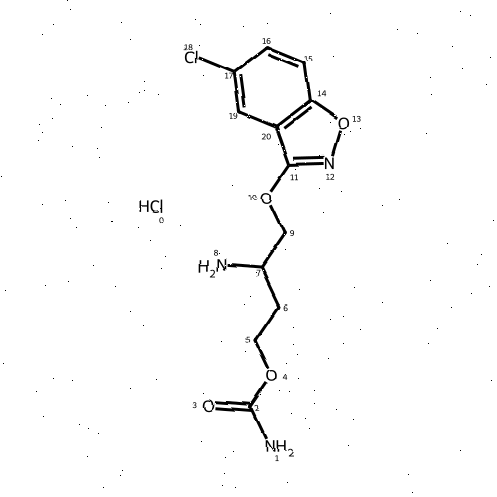 Cl.NC(=O)OCCC(N)COc1noc2ccc(Cl)cc12